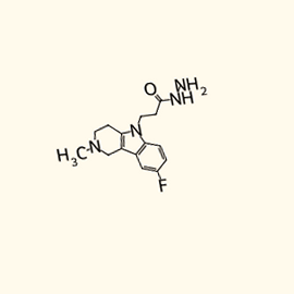 CN1CCc2c(c3cc(F)ccc3n2CCC(=O)NN)C1